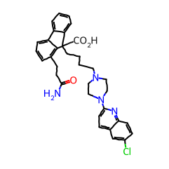 NC(=O)CCc1cccc2c1C(CCCCN1CCN(c3ccc4cc(Cl)ccc4n3)CC1)(C(=O)O)c1ccccc1-2